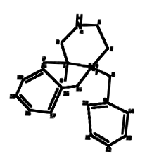 CC1(C)CNCC[N+]1(Cc1ccccc1)Cc1ccccc1